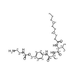 CCCOCCOCCC(=O)NC(C(=O)N[C@@H](C)C(=O)Nc1ccc(COC(=O)NCCN)cc1)C(C)C